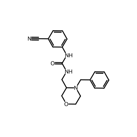 N#Cc1cccc(NC(=O)NCC2COCCN2Cc2ccccc2)c1